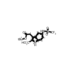 CC(C)(C)OC(=O)Cc1c(C(=O)O)[nH]c2ccc(NS(=O)(=O)C(F)(F)F)cc12